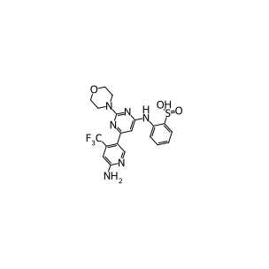 Nc1cc(C(F)(F)F)c(-c2cc(Nc3ccccc3[SH](=O)=O)nc(N3CCOCC3)n2)cn1